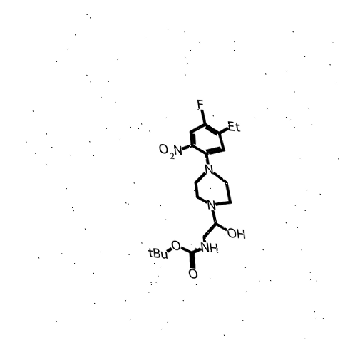 CCc1cc(N2CCN(C(O)CNC(=O)OC(C)(C)C)CC2)c([N+](=O)[O-])cc1F